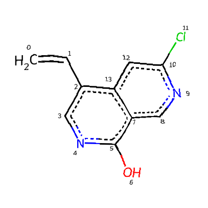 C=Cc1cnc(O)c2cnc(Cl)cc12